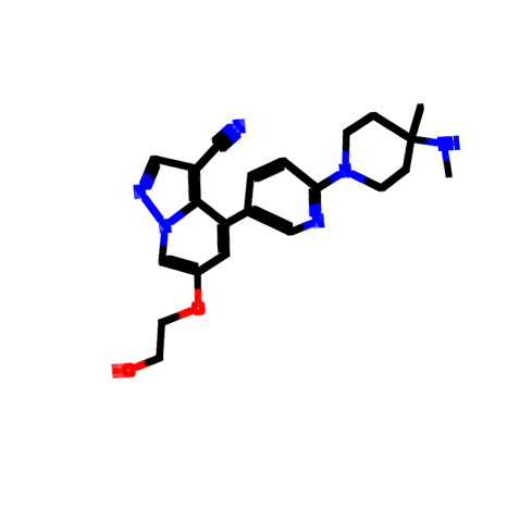 CNC1(C)CCN(c2ccc(-c3cc(OCCO)cn4ncc(C#N)c34)cn2)CC1